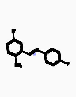 O=[N+]([O-])c1ccc(Br)cc1/C=N/c1ccc(F)cc1